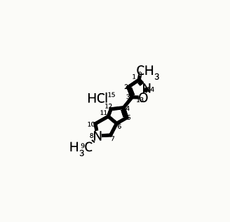 Cc1cc(C2=CC3CN(C)CC3C2)on1.Cl